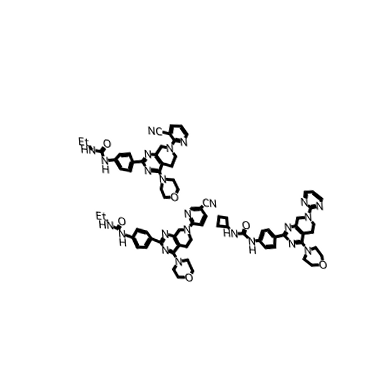 CCNC(=O)Nc1ccc(-c2nc3c(c(N4CCOCC4)n2)CCN(c2ccc(C#N)cn2)C3)cc1.CCNC(=O)Nc1ccc(-c2nc3c(c(N4CCOCC4)n2)CCN(c2ncccc2C#N)C3)cc1.O=C(Nc1ccc(-c2nc3c(c(N4CCOCC4)n2)CCN(c2ncccn2)C3)cc1)NC1CCC1